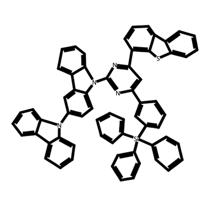 c1ccc([Si](c2ccccc2)(c2ccccc2)c2cccc(-c3cc(-c4cccc5c4sc4ccccc45)nc(-n4c5ccccc5c5cc(-n6c7ccccc7c7ccccc76)ccc54)n3)c2)cc1